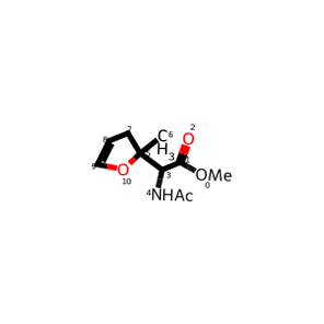 COC(=O)C(NC(C)=O)C1(C)CC=CO1